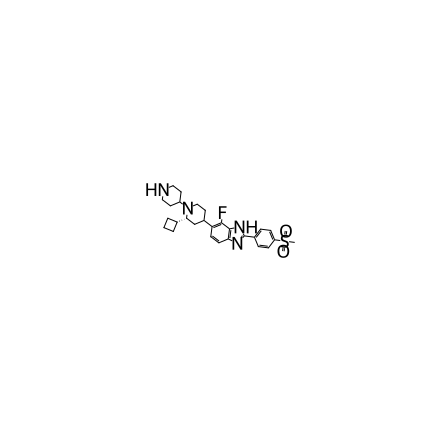 CS(=O)(=O)c1ccc(-c2nc3ccc(C4CCN(C5CCNCC5)[C@@H](C5CCC5)C4)c(F)c3[nH]2)cc1